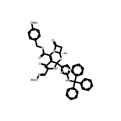 CO/N=C/C(=O)NC1(c2csc(NC(c3ccccc3)(c3ccccc3)c3ccccc3)n2)S[C@@H]2CC(=O)N2C(C(=O)OCc2ccc(OC)cc2)=C1CCl